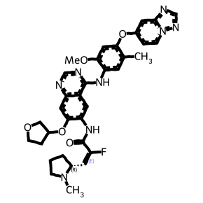 COc1cc(Oc2ccn3ncnc3c2)c(C)cc1Nc1ncnc2cc(OC3CCOC3)c(NC(=O)/C(F)=C\[C@H]3CCCN3C)cc12